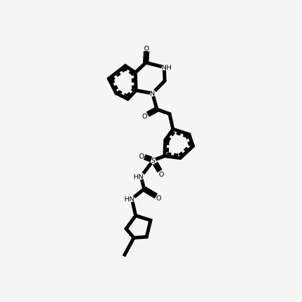 CC1CCC(NC(=O)NS(=O)(=O)c2cccc(CC(=O)N3CNC(=O)c4ccccc43)c2)C1